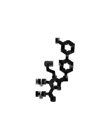 CC(=O)c1sc(=Nc2ccc(-c3cccc(F)c3)nc2)n(CCO)c1C